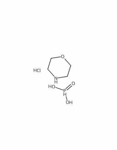 C1COCCN1.Cl.O=[PH](O)O